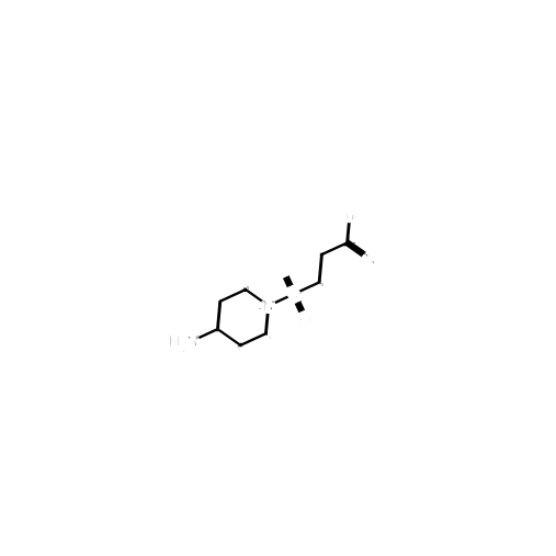 CCCC(=N)CCS(=O)(=O)N1CCC(N)CC1